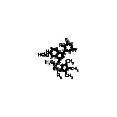 CC1=C(C)C(C)[C]([Zr]([CH]2C=C(c3cc(F)cc(F)c3F)c3ccccc32)=[Si](C)C)=C1C.Cl.Cl